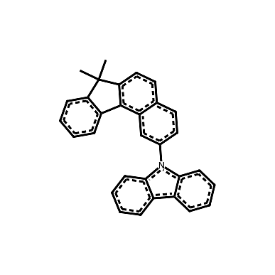 CC1(C)c2ccccc2-c2c1ccc1ccc(-n3c4ccccc4c4ccccc43)cc21